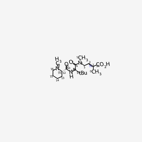 C/C(=C\CN(C)C(=O)[C@H](NC(=O)[C@@H]1CCCCN1C)C(C)(C)C)C(=O)O